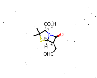 CC1(C)S[C@@H]2[C@H](CC=O)C(=O)N2[C@H]1C(=O)O